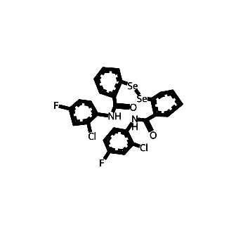 O=C(Nc1ccc(F)cc1Cl)c1ccccc1[Se][Se]c1ccccc1C(=O)Nc1ccc(F)cc1Cl